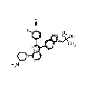 CC(C)(O)Cn1ncc2cc(-c3c(-c4ccc(C#N)c(F)c4)nc4c(N5CCC[C@@H](N)C5)nccn34)ccc21